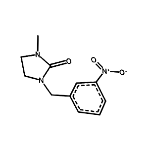 CN1CCN(Cc2cccc([N+](=O)[O-])c2)C1=O